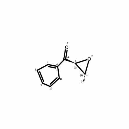 C[C@H]1O[C@@H]1C(=O)c1ccccc1